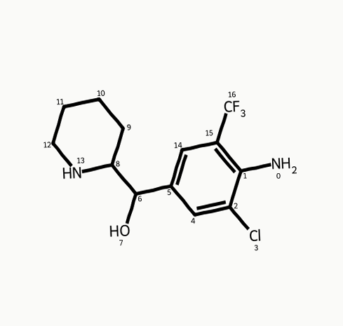 Nc1c(Cl)cc(C(O)C2CCCCN2)cc1C(F)(F)F